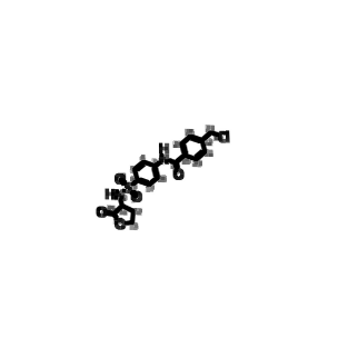 O=C(Nc1ccc(S(=O)(=O)NC2CCOC2=O)cc1)c1ccc(CCl)cc1